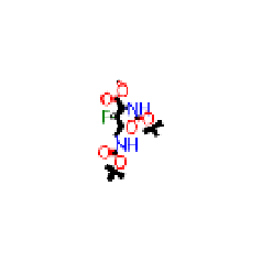 COC(=O)[C@@H](NC(=O)OC(C)(C)C)[C@H](F)CCNC(=O)OC(C)(C)C